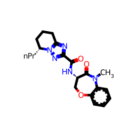 CCC[C@@H]1CCCc2nc(C(=O)N[C@H]3COc4ccccc4N(C)C3=O)nn21